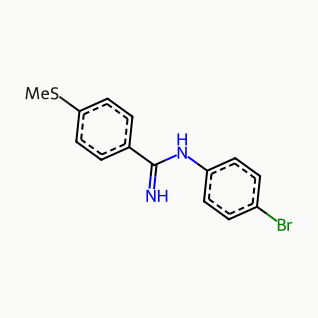 CSc1ccc(C(=N)Nc2ccc(Br)cc2)cc1